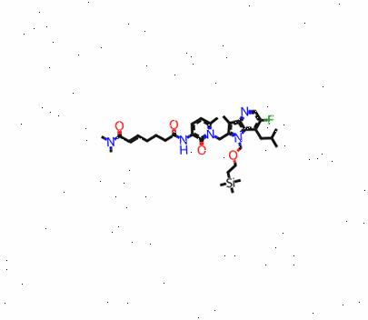 Cc1c(Cn2c(C)ccc(NC(=O)CCC/C=C/C(=O)N(C)C)c2=O)n(COCC[Si](C)(C)C)c2c(CC(C)C)c(F)cnc12